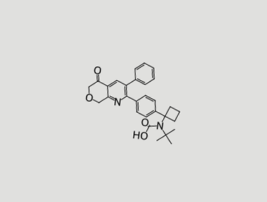 CC(C)(C)N(C(=O)O)C1(c2ccc(-c3nc4c(cc3-c3ccccc3)C(=O)COC4)cc2)CCC1